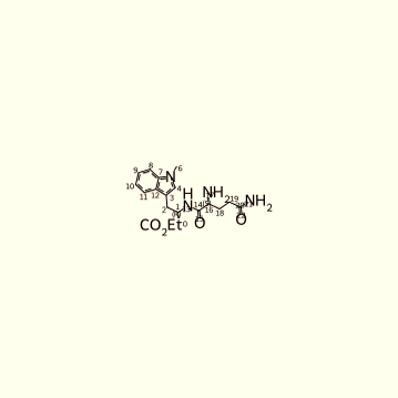 CCOC(=O)[C@@H](Cc1cn(C)c2ccccc12)NC(=O)[C@@H](N)CCC(N)=O